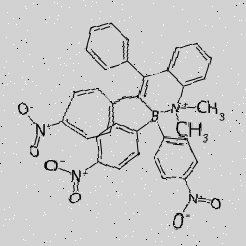 C[N+]1(C)c2ccccc2C(c2ccccc2)=C(c2ccc([N+](=O)[O-])cc2)[B-]1(c1ccc([N+](=O)[O-])cc1)c1ccc([N+](=O)[O-])cc1